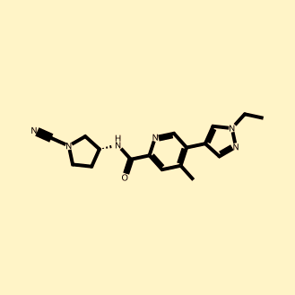 CCn1cc(-c2cnc(C(=O)N[C@@H]3CCN(C#N)C3)cc2C)cn1